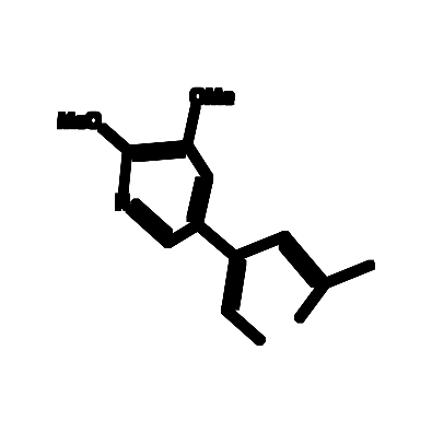 C/C=C(\C=C(C)C)c1cnc(OC)c(OC)c1